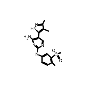 Cc1ccc(Nc2ncc(-c3[nH]nc(C)c3C)c(N)n2)cc1S(C)(=O)=O